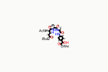 COC(=O)C(O)c1ccc(NC(=O)[C@H](C)NC(=O)[C@@H](NC(=O)[C@H](CCC(=O)OCC(C)C)NC(C)=O)C(C)C)cc1